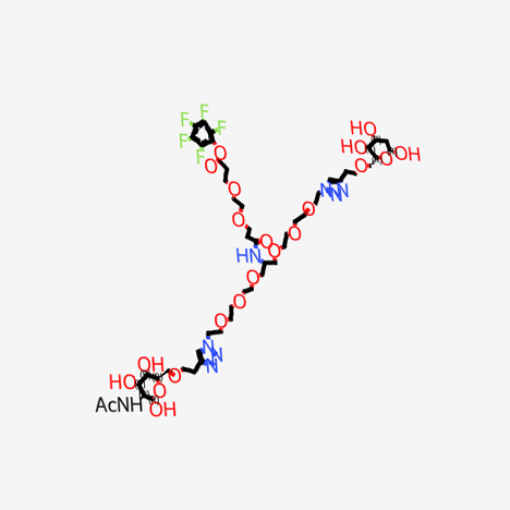 CC(=O)N[C@@H]1[C@@H](O)[C@@H](O)[C@@H](COCCc2cn(CCOCCOCCOCC(COCCOCCOCCn3cc(CCOC[C@H]4O[C@@H](O)C[C@@H](O)[C@H]4O)nn3)NC(=O)CCOCCOCCC(=O)Oc3c(F)c(F)c(F)c(F)c3F)nn2)O[C@H]1O